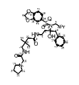 CC(C)CN(C(O)(CCNC(=O)CC(C)(C)CNC(=O)CN1CCCC1)Cc1ccccc1)S(=O)(=O)c1ccc2c(c1)OCO2